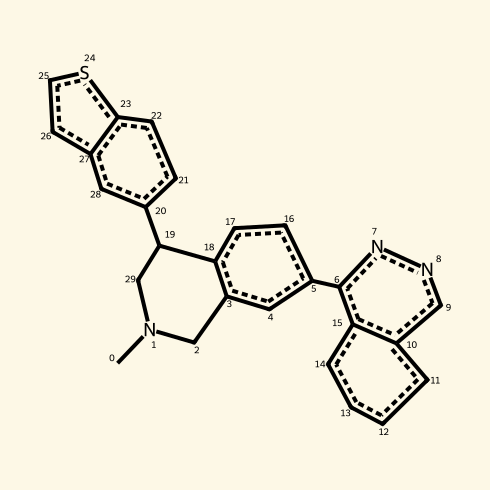 CN1Cc2cc(-c3nncc4ccccc34)ccc2C(c2ccc3sccc3c2)C1